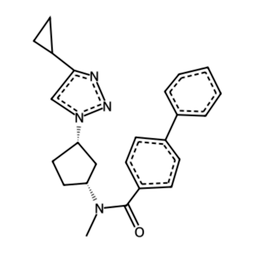 CN(C(=O)c1ccc(-c2ccccc2)cc1)[C@@H]1CC[C@H](n2cc(C3CC3)nn2)C1